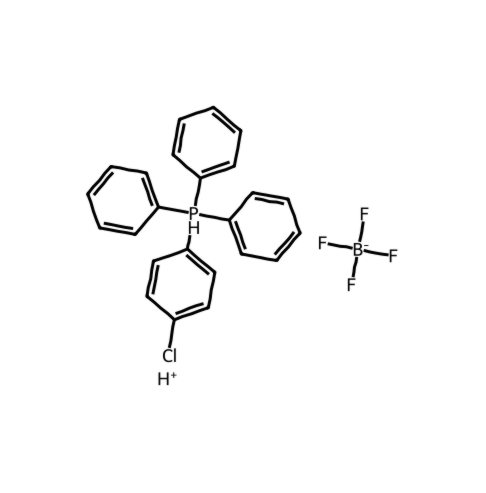 Clc1ccc([PH](c2ccccc2)(c2ccccc2)c2ccccc2)cc1.F[B-](F)(F)F.[H+]